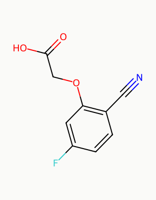 N#Cc1ccc(F)cc1OCC(=O)O